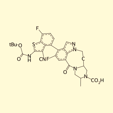 CC1CN2C(=O)c3cc(F)c(-c4ccc(F)c5sc(NC(=O)OC(C)(C)C)c(C#N)c45)c4cnn(c34)CCC2CN1C(=O)O